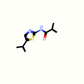 CC(C)C(=O)Nc1ncc(C(C)C)s1